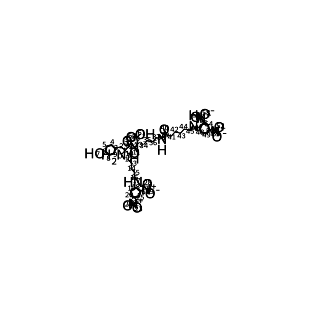 N[C@](Cc1ccc(O)cc1)(C(=O)CCCCCNc1ccc([N+](=O)[O-])cc1[N+](=O)[O-])C(=O)N[C@@H](CCCCNC(=O)CCCCCNc1ccc([N+](=O)[O-])cc1[N+](=O)[O-])C(=O)O